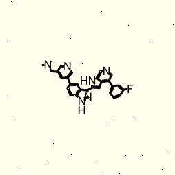 CN(C)Cc1cncc(-c2ccc3[nH]nc(-c4cc5c(-c6cccc(F)c6)cncc5[nH]4)c3c2)c1